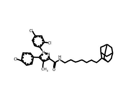 Cc1c(C(=O)NCCCCCCCC2C3CC4CC(C3)CC2C4)nn(-c2ccc(Cl)cc2Cl)c1-c1ccc(Cl)cc1